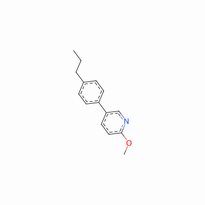 CCCc1ccc(-c2ccc(OC)nc2)cc1